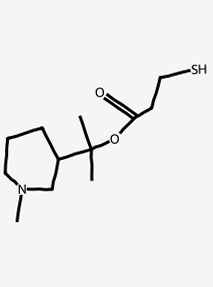 CN1CCCC(C(C)(C)OC(=O)CCS)C1